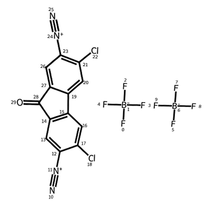 F[B-](F)(F)F.F[B-](F)(F)F.N#[N+]c1cc2c(cc1Cl)-c1cc(Cl)c([N+]#N)cc1C2=O